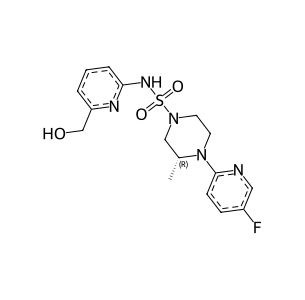 C[C@@H]1CN(S(=O)(=O)Nc2cccc(CO)n2)CCN1c1ccc(F)cn1